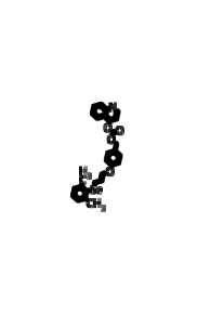 Cc1cccc(C)c1[Se]CC=COc1ccc(COC(=O)Oc2ccnc3ccccc23)cc1